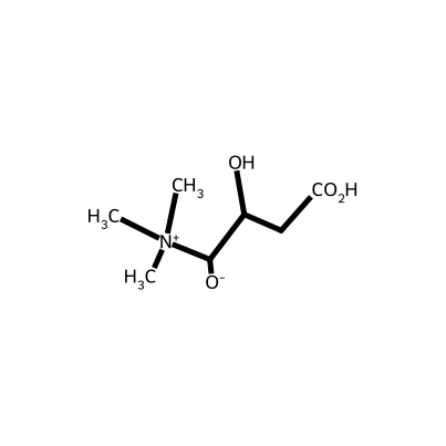 C[N+](C)(C)C([O-])C(O)CC(=O)O